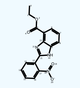 CCOC(=O)c1cccc2[nH]c(-c3ccccc3[N+](=O)[O-])nc12